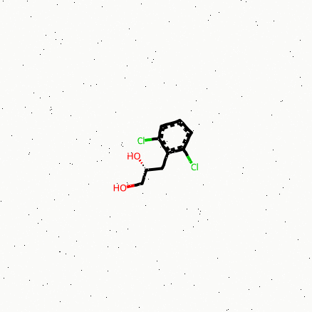 OC[C@H](O)Cc1c(Cl)cccc1Cl